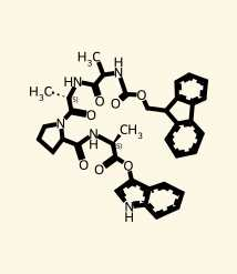 CC(NC(=O)OCC1c2ccccc2-c2ccccc21)C(=O)N[C@@H](C)C(=O)N1CCCC1C(=O)N[C@@H](C)C(=O)Oc1c[nH]c2ccccc12